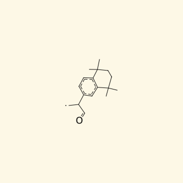 [CH2]C(C=O)c1ccc2c(c1)C(C)(C)CCC2(C)C